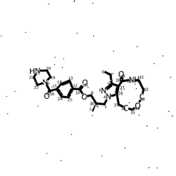 CCc1nn(C[C@@H](C)COC(=O)c2ccc(C(=O)N3CCNCC3)cc2)c2c1C(=O)NCCCOCCC2